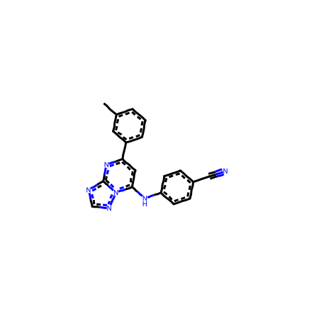 Cc1cccc(-c2cc(Nc3ccc(C#N)cc3)n3ncnc3n2)c1